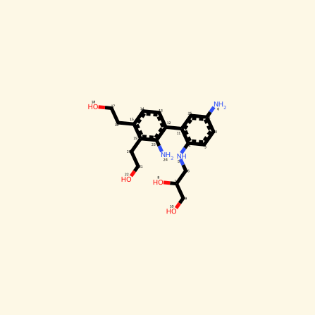 Nc1ccc(NCC(O)CO)c(-c2ccc(CCO)c(CCO)c2N)c1